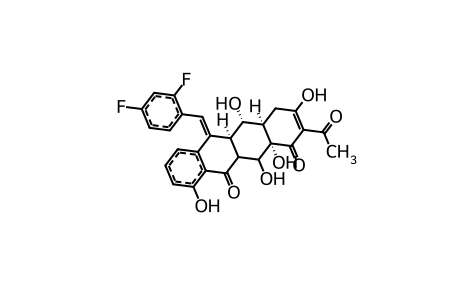 CC(=O)C1=C(O)C[C@@H]2[C@@H](O)[C@@H]3/C(=C/c4ccc(F)cc4F)c4cccc(O)c4C(=O)C3C(O)[C@]2(O)C1=O